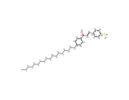 CCCCCCCCCCCCCCCCCCc1ccc(C(=O)C=Cc2ccc(SC)cc2)cc1